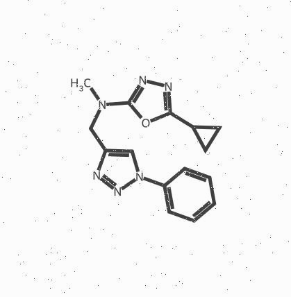 CN(Cc1cn(-c2ccccc2)nn1)c1nnc(C2CC2)o1